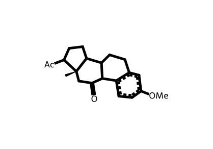 COc1ccc2c(c1)CCC1C2C(=O)C[C@]2(C)C(C(C)=O)CCC12